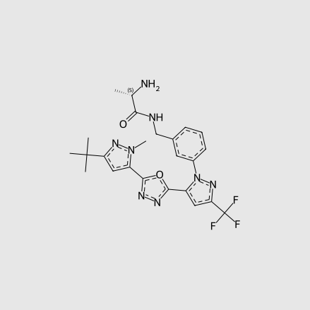 C[C@H](N)C(=O)NCc1cccc(-n2nc(C(F)(F)F)cc2-c2nnc(-c3cc(C(C)(C)C)nn3C)o2)c1